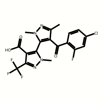 Cc1nn(C)c(-c2c(C(=O)O)c(C(F)(F)F)nn2C)c1C(=O)c1ccc(Cl)cc1F